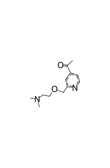 CC(=O)c1ccnc(COCCN(C)C)c1